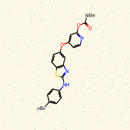 CCCCc1ccc(Nc2nc3cc(Oc4ccnc(OC(=O)NC)c4)ccc3s2)cc1